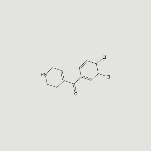 O=C(C1=CC(Cl)C(Cl)C=C1)C1=CCNCC1